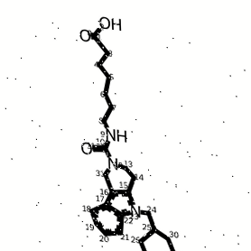 O=C(O)CCCCCCNC(=O)N1CCc2c(c3ccccc3n2CC2CCOCC2)C1